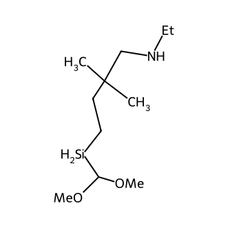 CCNCC(C)(C)CC[SiH2]C(OC)OC